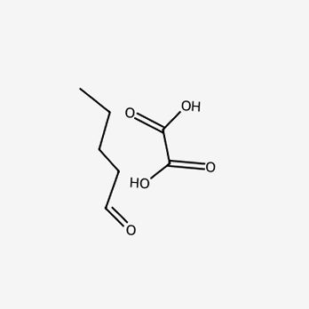 CCCCC=O.O=C(O)C(=O)O